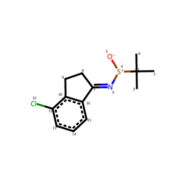 CC(C)(C)[S+]([O-])N=C1CCc2c(Cl)cccc21